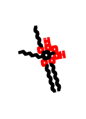 CCCCCCCCCOc1c(CCCCCCC)c(OCCCCCCC)c(O)c(C(=O)O)c1OCCCCCCCCC